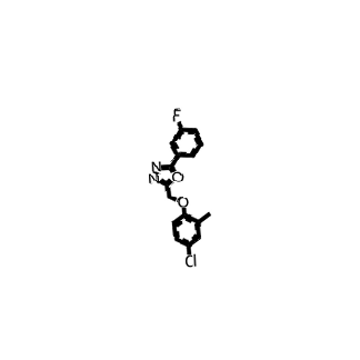 Cc1cc(Cl)ccc1OCc1nnc(-c2cccc(F)c2)o1